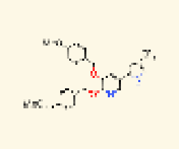 COCc1ccc(COc2ncc(-c3cc(C(F)(F)F)c[nH]3)cc2OCc2ccc(OC)cc2)cc1